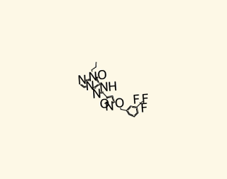 CCCn1c(=O)c2[nH]c(-c3cc(OCc4cccc(C(F)(F)F)c4)no3)nc2n2ccnc12